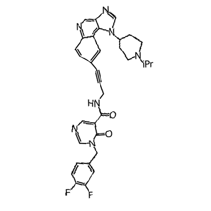 CC(C)N1CCC(n2cnc3cnc4ccc(C#CCNC(=O)c5cncn(Cc6ccc(F)c(F)c6)c5=O)cc4c32)CC1